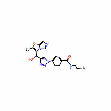 CCc1sc2cncn2c1C(O)c1cn(-c2ccc(C(=O)NCCC#N)cc2)nn1